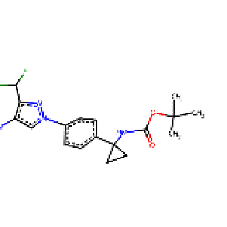 CC(C)(C)OC(=O)NC1(c2ccc(-n3cc(N)c(C(F)F)n3)cc2)CC1